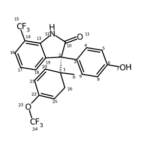 CC1([C@@]2(c3ccc(O)cc3)C(=O)Nc3c(C(F)(F)F)cccc32)C=CC(OC(F)(F)F)=CC1